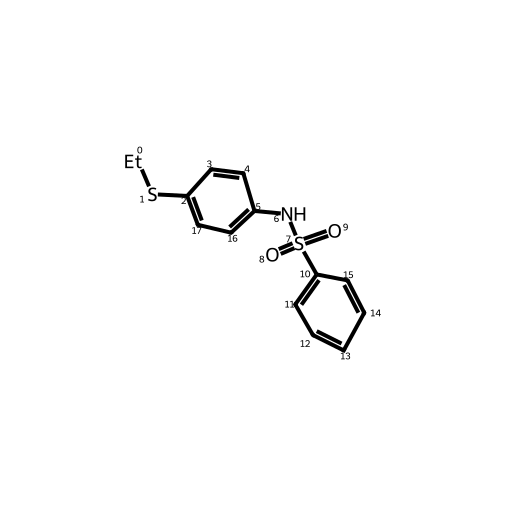 CCSc1ccc(NS(=O)(=O)c2ccccc2)cc1